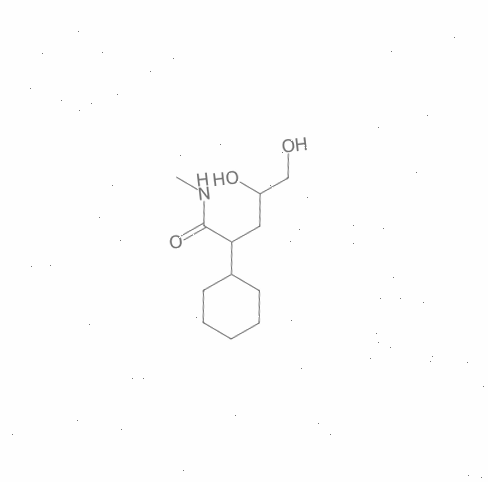 CNC(=O)C(CC(O)CO)C1CCCCC1